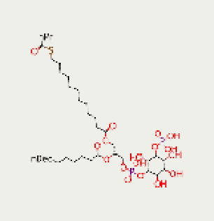 CCCCCCCCCCCCCCCC(=O)O[C@H](COC(=O)CCCCCCCCCCCSC(=O)CCC)COP(=O)(O)OC1C(O)[C@@H](OP(=O)(O)O)C(O)[C@@H](O)[C@H]1O